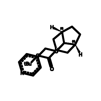 CC(C)(C)OC(=O)N1C[C@H]2CC[C@@H](C1)C2OCc1ccncc1